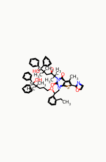 CCc1ccccc1C(Cn1c(=O)n(C(C)(C)C(=O)CC(C)(C)[Si](O)(c2ccccc2)c2ccccc2)c(=O)c2c(C)c(-c3ncco3)sc21)OCCCC(C)(C)[Si](O)(c1ccccc1)c1ccccc1